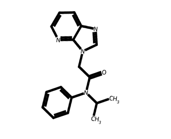 CC(C)N(C(=O)Cn1cnc2cccnc21)c1ccccc1